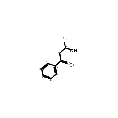 C=C(CC(C)C(C)C)c1ccccc1